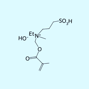 C=C(C)C(=O)OC[N+](C)(CC)CCCS(=O)(=O)O.[OH-]